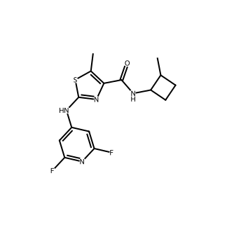 Cc1sc(Nc2cc(F)nc(F)c2)nc1C(=O)NC1CCC1C